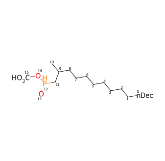 CCCCCCCCCCCCCCCCCCC(C)C[PH](=O)OC(=O)O